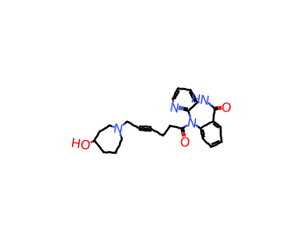 O=C1Nc2cccnc2N(C(=O)CCC#CCN2CCCC(O)CC2)c2ccccc21